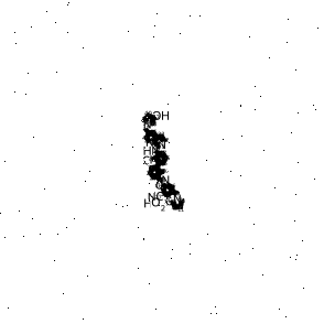 Cc1c(-c2nc3cc(CN4CCC[C@H]4C(=O)O)cc(C#N)c3o2)cccc1-c1cccc(Nc2nccc3cc(CN4CC[C@H](O)C4)cnc23)c1Cl